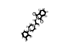 Cc1cccc(N2CCN(C(C)CN3C(=O)c4ccccc4C3=O)CC2)c1C